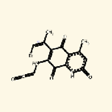 CC/C=C(/C)C1=C(NC=C=O)C(=O)c2[nH]c(=O)cc(C)c2C1=O